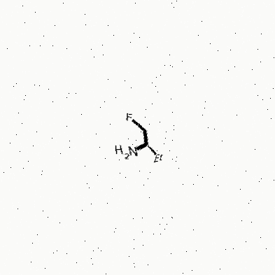 CC[C@@H](N)CF